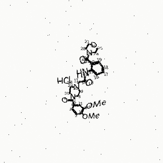 COc1ccc(C(=O)N2CCN(CC(=O)Nc3ccccc3C(=O)N3CCOCC3)CC2)cc1OC.Cl